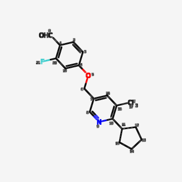 O=Cc1ccc(OCc2cnc(C3CCCC3)c(C(F)(F)F)c2)cc1F